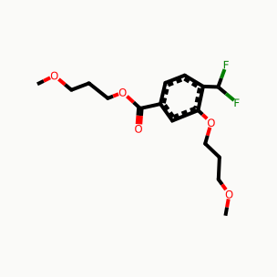 COCCCOC(=O)c1ccc(C(F)F)c(OCCCOC)c1